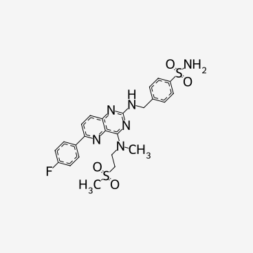 CN(CCS(C)(=O)=O)c1nc(NCc2ccc(S(N)(=O)=O)cc2)nc2ccc(-c3ccc(F)cc3)nc12